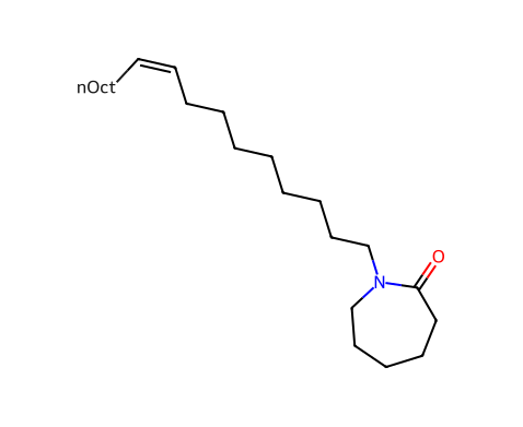 CCCCCCCC/C=C\CCCCCCCCN1CCCCCC1=O